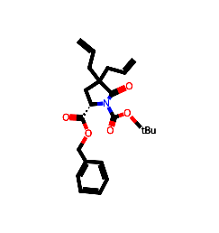 C=CCC1(CC=C)C[C@@H](C(=O)OCc2ccccc2)N(C(=O)OC(C)(C)C)C1=O